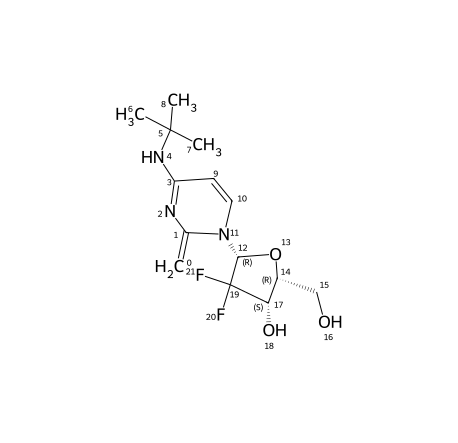 C=C1N=C(NC(C)(C)C)C=CN1[C@@H]1O[C@H](CO)[C@H](O)C1(F)F